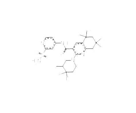 CC1CN(c2nc3c(cc2C(=O)Nc2ccnc(S(N)(=O)=O)c2)C(C)(C)CC(C)(C)C3)CCC1(F)F